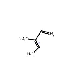 C=C/C(=C/C)C(=O)O